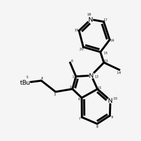 Cc1c(CCC(C)(C)C)c2cccnc2n1C(C)c1ccncc1